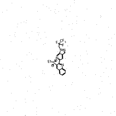 CCS(=O)(=O)c1cc2ccccc2nc1-c1cc2cnn(CC(F)(F)C(F)(F)F)c2cn1